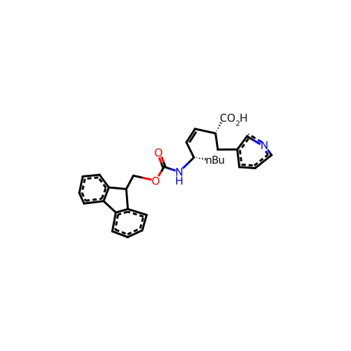 CCCC[C@@H](/C=C\[C@@H](Cc1cccnc1)C(=O)O)NC(=O)OCC1c2ccccc2-c2ccccc21